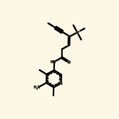 CC#C/C(=C\CC(=O)Nc1cnc(C)c(N)c1C)[N+](C)(C)C